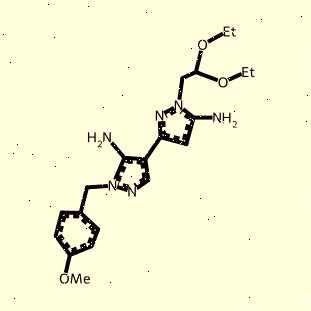 CCOC(Cn1nc(-c2cnn(Cc3ccc(OC)cc3)c2N)cc1N)OCC